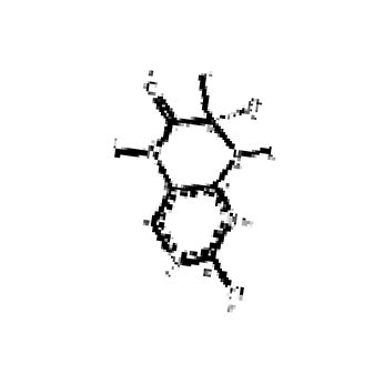 CC[C@@]1(C)C(=O)N(C)c2cnc(Cl)nc2N1C